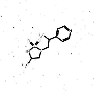 CC1CN(CC(C)c2ccncc2)S(=O)(=O)N1